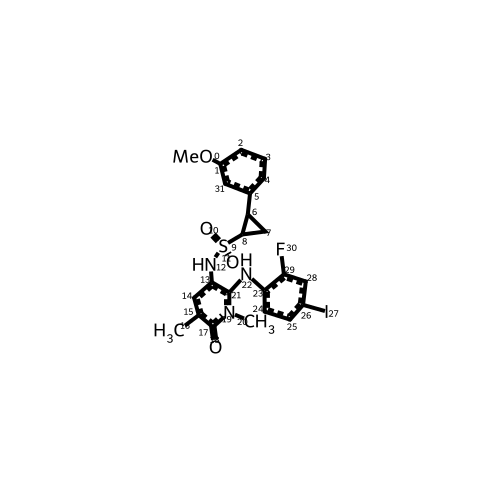 COc1cccc(C2CC2S(=O)(=O)Nc2cc(C)c(=O)n(C)c2Nc2ccc(I)cc2F)c1